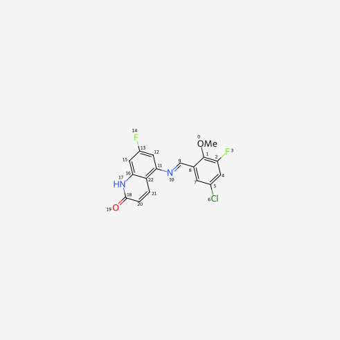 COc1c(F)cc(Cl)cc1/C=N/c1cc(F)cc2[nH]c(=O)ccc12